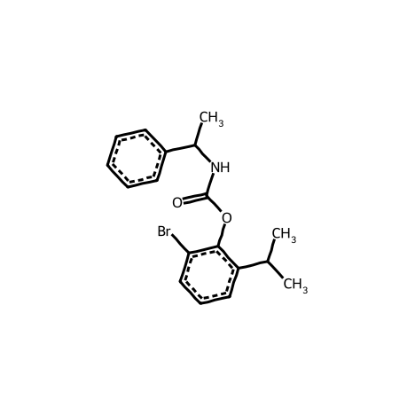 CC(C)c1cccc(Br)c1OC(=O)NC(C)c1ccccc1